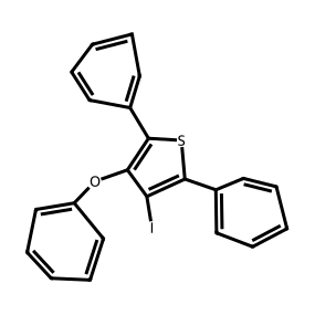 Ic1c(-c2ccccc2)sc(-c2ccccc2)c1Oc1ccccc1